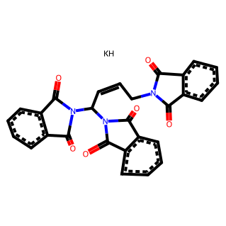 O=C1c2ccccc2C(=O)N1C/C=C\C(N1C(=O)c2ccccc2C1=O)N1C(=O)c2ccccc2C1=O.[KH]